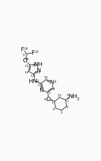 N[C@H]1CCC[C@@H](Oc2cncc(Nc3cc(OC(F)F)[nH]n3)n2)C1